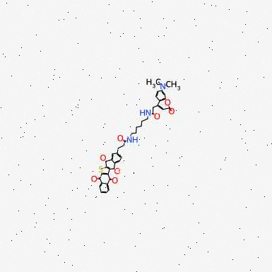 CN(C)c1ccc2c(CC(=O)NCCCCCCNC(=O)CCc3ccc4c(=O)c5c(sc6c(=O)c7ccccc7c(=O)c65)c(=O)c4c3)cc(=O)oc2c1